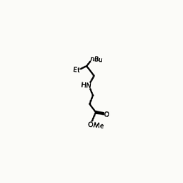 CCCCC(CC)CNCCC(=O)OC